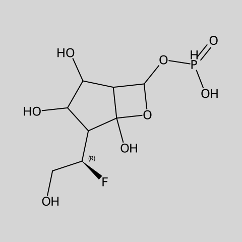 O=[PH](O)OC1OC2(O)C1C(O)C(O)C2[C@@H](F)CO